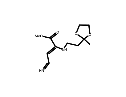 COC(=O)/C(=C/C=N)NCCC1(C)OCCO1